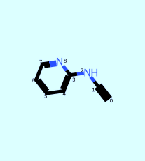 C#CNc1ccccn1